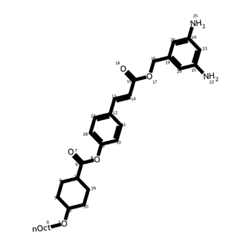 CCCCCCCCOC1CCC(C(=O)Oc2ccc(/C=C/C(=O)OCc3cc(N)cc(N)c3)cc2)CC1